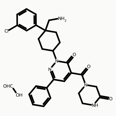 NCC1(c2cccc(Cl)c2)CCC(n2nc(-c3ccccc3)cc(C(=O)N3CCNC(=O)C3)c2=O)CC1.O=CO